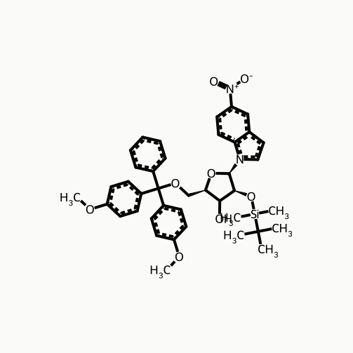 COc1ccc(C(OC[C@H]2O[C@@H](n3ccc4cc([N+](=O)[O-])ccc43)[C@@H](O[Si](C)(C)C(C)(C)C)C2O)(c2ccccc2)c2ccc(OC)cc2)cc1